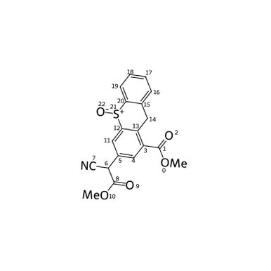 COC(=O)c1cc(C(C#N)C(=O)OC)cc2c1Cc1ccccc1[S+]2[O-]